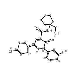 O=C(NC1(CO)CCCCC1)c1cc(-c2ccc(Cl)cc2)nn(-c2cccc(F)c2)c1=O